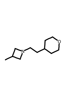 CC1CN(CCC2CCOCC2)C1